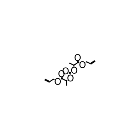 C=CCOC(=O)C(C)OC(=O)OC(C)C(=O)OCC=C